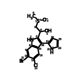 C[S+]([O-])CC(O)c1[nH]c2cc(Br)c(Cl)cc2c1-c1ccc[nH]1